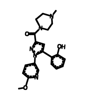 COc1ccc(-n2nc(C(=O)N3CCN(C)CC3)cc2-c2ccccc2O)cn1